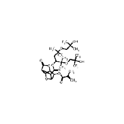 C=C(C)C(=O)OC1C2OC(=O)C3C2OC1C3C(=O)OC(CC(C)(C)OCC(C)(O)C(F)(F)F)C(C)(C)OCC(O)(C(F)(F)F)C(F)(F)F